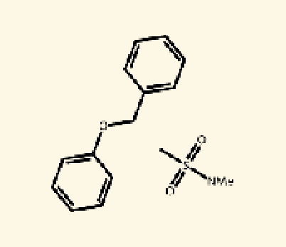 CNS(C)(=O)=O.c1ccc(COc2ccccc2)cc1